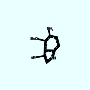 CCCc1c[nH]c2ccc(N)c(OC)c12